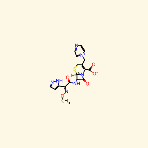 CON=C(C(=O)NC1C(=O)N2C(C(=O)[O-])=C(C[n+]3ccncc3)CS[C@@H]12)c1ccn[nH]1